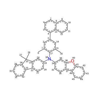 Cc1cc(-c2cccc3ccccc23)cc(C)c1N(c1ccc2c(c1)C(C)(C)c1ccccc1-2)c1ccc2c(c1)oc1ccccc12